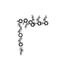 C[Si](C)(C)N=C=S.Cc1ccccc1N=C=S.Fc1ccccc1N=C=S.S=C=NC1CCCCC1.S=C=Nc1cccc2ccccc12.S=C=Nc1ccccc1.S=C=Nc1ccccc1Br.S=C=Nc1ccccc1Cl